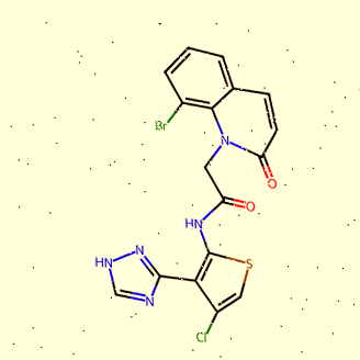 O=C(Cn1c(=O)ccc2cccc(Br)c21)Nc1scc(Cl)c1-c1nc[nH]n1